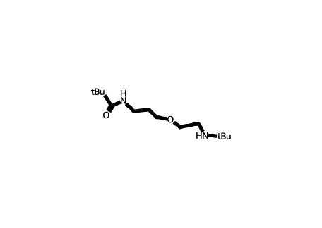 CC(C)(C)NCCOCCCNC(=O)C(C)(C)C